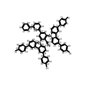 Cc1ccc(-c2ccc3c(c2)c2cc(-c4ccc(C)cc4)ccc2n3-c2cc(-c3cccc(-c4ccccc4)n3)cc(-n3c4ccc(-c5ccc(C)cc5)cc4c4cc(-c5ccc(C)cc5)ccc43)c2C#N)cc1